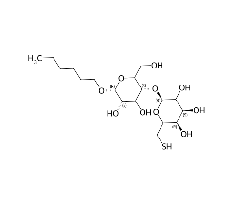 CCCCCCO[C@@H]1OC(CO)[C@H](O[C@@H]2OC(CS)[C@H](O)[C@H](O)C2O)C(O)[C@@H]1O